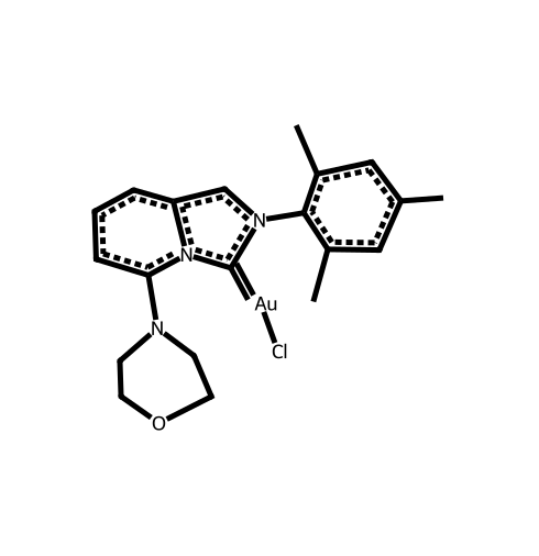 Cc1cc(C)c(-n2cc3cccc(N4CCOCC4)n3[c]2=[Au][Cl])c(C)c1